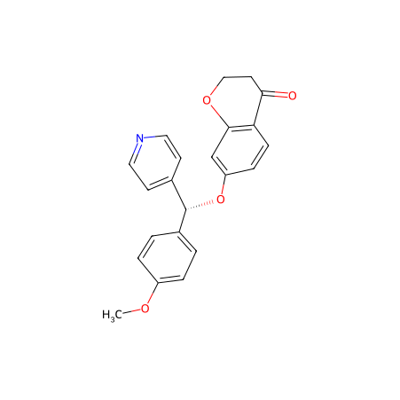 COc1ccc([C@@H](Oc2ccc3c(c2)OCCC3=O)c2ccncc2)cc1